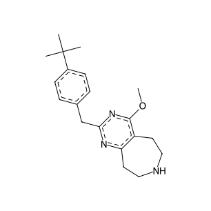 COc1nc(Cc2ccc(C(C)(C)C)cc2)nc2c1CCNCC2